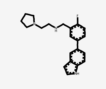 Fc1ccc(-c2ccc3[nH]ccc3c2)cc1CNCCN1CCCC1